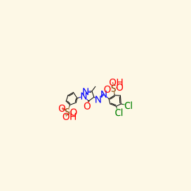 CC1=NN(c2cccc(S(=O)(=O)O)c2)C(=O)C1/N=N/c1cc(Cl)c(Cl)cc1S(=O)(=O)O